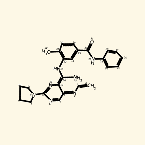 C=C/N=C1/C=NC(N2CCCC2)=N/C1=C(/N)Nc1cc(C(=O)Nc2ccccc2)ccc1C